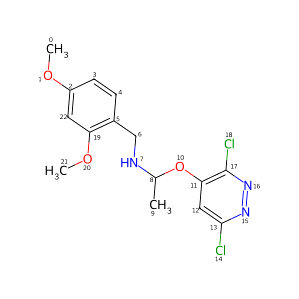 COc1ccc(CNC(C)Oc2cc(Cl)nnc2Cl)c(OC)c1